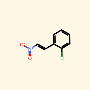 O=[N+]([O-])C=Cc1ccccc1Cl